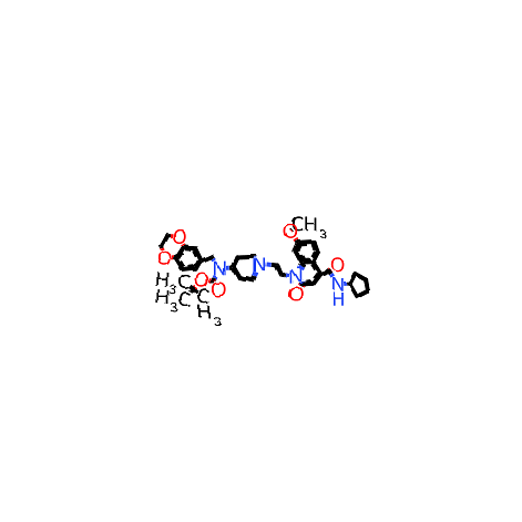 COc1ccc2c(C(=O)NC3CCCC3)cc(=O)n(CCN3CCC(N(Cc4ccc5c(c4)OCCO5)C(=O)OC(C)(C)C)CC3)c2c1